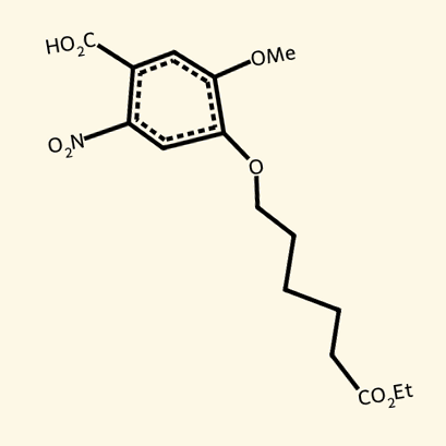 CCOC(=O)CCCCCOc1cc([N+](=O)[O-])c(C(=O)O)cc1OC